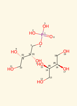 O=P(O)(O)OC[C@H](O)[C@@H](O)CO.OC[C@@H](O)[C@H](O)CO